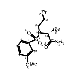 COc1cccc(S(=O)(=O)N(CCC(C)C)[C@@H](C(N)=O)C(C)(C)C)c1